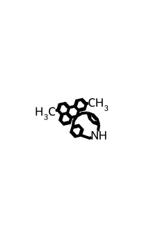 Cc1ccc2c(c1)C1(Cc3ccc(cc3)CNCc3ccc(cc3)C1)c1cccc3c(C)ccc-2c13